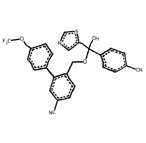 N#Cc1ccc(C(O)(OCc2ccc(C#N)cc2-c2ccc(OC(F)(F)F)cc2)c2cncs2)cc1